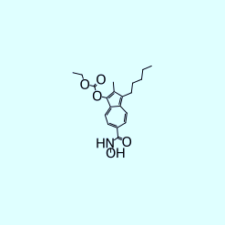 CCCCCc1c2ccc(C(=O)NO)ccc-2c(OC(=O)OCC)c1C